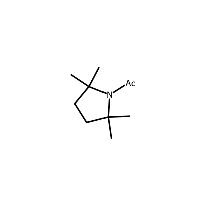 CC(=O)N1C(C)(C)CCC1(C)C